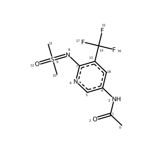 CC(=O)Nc1cnc(N=S(C)(C)=O)c(C(F)(F)F)c1